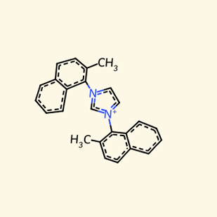 Cc1ccc2ccccc2c1-n1cc[n+](-c2c(C)ccc3ccccc23)c1